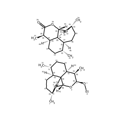 CCO[C@H]1O[C@@H]2O[C@]3(C)CC[C@H]4[C@H](C)CC[C@@H]([C@H]1C)C24OO3.C[C@@H]1CC[C@H]2[C@@H](C)C(=O)O[C@@H]3O[C@]4(C)CC[C@@H]1[C@]32OO4